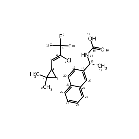 CC1(C)CC1C=C(Cl)C(F)(F)F.C[C@@H](NC(=O)O)c1ccc2ccccc2c1